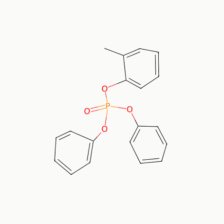 Cc1ccccc1OP(=O)(Oc1ccccc1)Oc1ccccc1